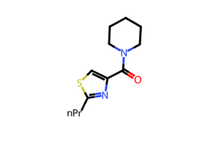 CCCc1nc(C(=O)N2CCCCC2)cs1